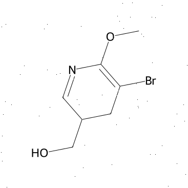 COC1=C(Br)CC(CO)C=N1